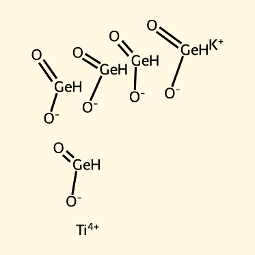 [K+].[O]=[GeH][O-].[O]=[GeH][O-].[O]=[GeH][O-].[O]=[GeH][O-].[O]=[GeH][O-].[Ti+4]